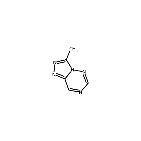 Cc1nnc2cncnn12